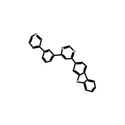 c1cncc(-c2cccc(-c3cc(-c4ccc5c(c4)sc4ccccc45)ncn3)c2)c1